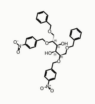 O=[N+]([O-])c1ccc(CO[C@H](COCc2ccccc2)[C@@H](O)[C@H](O)[C@@H](COCc2ccccc2)OCc2ccc([N+](=O)[O-])cc2)cc1